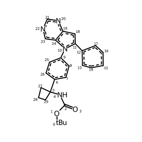 CC(C)(C)OC(=O)NC1(c2ccc(-n3c(-c4ccccc4)cc4ncncc43)cc2)CCC1